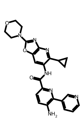 Nc1ccc(C(=O)Nc2cc3oc(N4CCOCC4)nc3nc2C2CC2)nc1-c1cccnc1